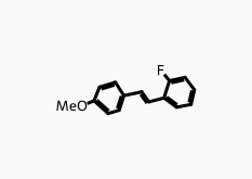 COc1ccc(C=Cc2ccccc2F)cc1